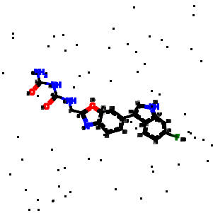 NC(=O)NC(=O)NCc1nc2ccc(-c3c[nH]c4cc(F)ccc34)cc2o1